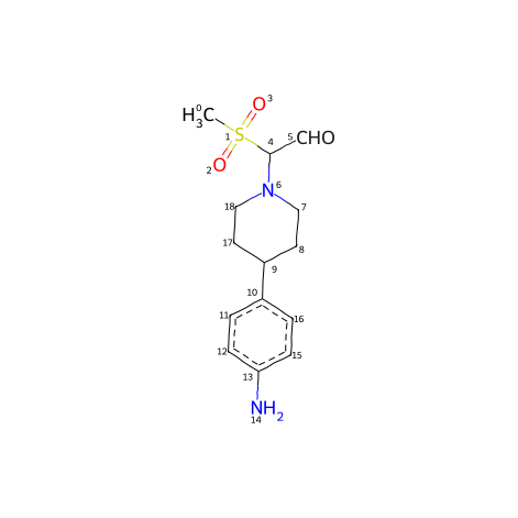 CS(=O)(=O)C(C=O)N1CCC(c2ccc(N)cc2)CC1